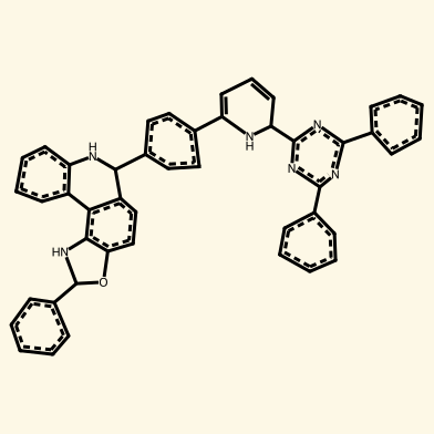 C1=CC(c2nc(-c3ccccc3)nc(-c3ccccc3)n2)NC(c2ccc(C3Nc4ccccc4-c4c3ccc3c4NC(c4ccccc4)O3)cc2)=C1